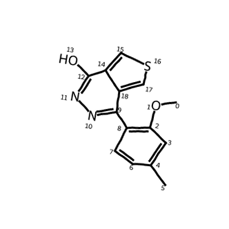 COc1cc(C)ccc1-c1nnc(O)c2cscc12